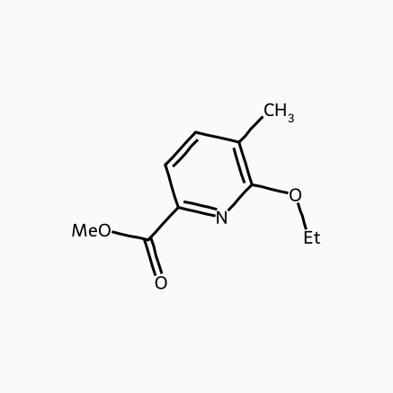 CCOc1nc(C(=O)OC)ccc1C